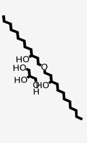 CCCCCCCCCC(O)CCOCCC(O)CCCCCCCCC.OCC(O)CO